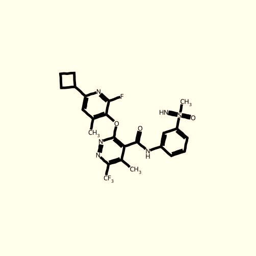 Cc1cc(C2CCC2)nc(F)c1Oc1nnc(C(F)(F)F)c(C)c1C(=O)Nc1cccc(S(C)(=N)=O)c1